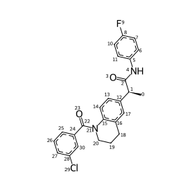 C[C@H](C(=O)Nc1ccc(F)cc1)c1ccc2c(c1)CCCN2C(=O)c1cccc(Cl)c1